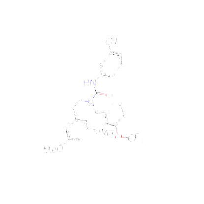 COc1cc2c(c(OC)c1)C(C1=CC(OC(F)(F)F)=CCC1)N(C(=O)Nc1cccc(C#N)c1)CC2